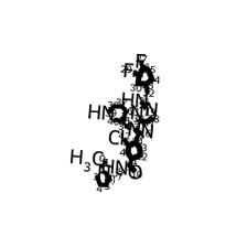 CCN1CCC[C@H]1CNC(=O)c1ccc(-c2nc3cnc(NCc4ccc(F)c(F)c4)nc3n2C[C@@H]2CCCNC2)c(Cl)c1